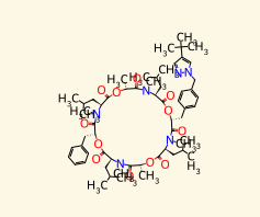 CC(C)C[C@H]1C(=O)O[C@H](Cc2ccc(Cn3cc(C(C)(C)C)cn3)cc2)C(=O)N(C)[C@@H](CC(C)C)C(=O)O[C@H](C)C(=O)N(C)[C@@H](CC(C)C)C(=O)O[C@H](Cc2ccccc2)C(=O)N(C)[C@@H](CC(C)C)C(=O)O[C@H](C)C(=O)N1C